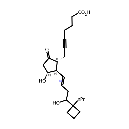 CCCC1(C(O)C/C=C/[C@H]2[C@H](O)CC(=O)[C@@H]2CC#CCCCC(=O)O)CCC1